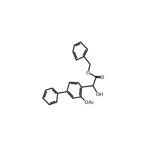 CC(=O)Oc1cc(-c2ccccc2)ccc1C(O)C(=O)OCc1ccccc1